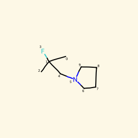 CC(C)(F)CN1CCCC1